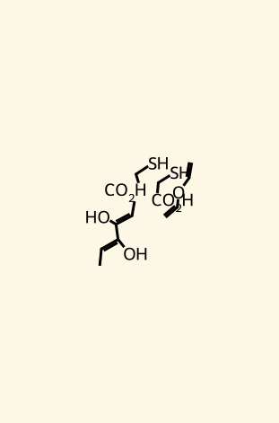 C=COC=C.CC=C(O)C(O)=CC.O=C(O)CS.O=C(O)CS